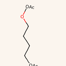 CC(=O)OCCCCOOC(C)=O